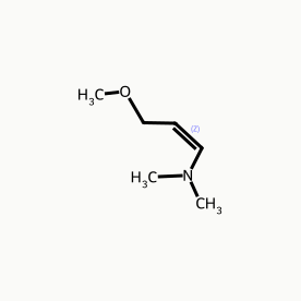 COC/C=C\N(C)C